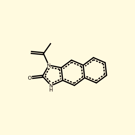 C=C(C)n1c(=O)[nH]c2cc3ccccc3cc21